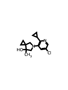 CC1(O)CN(c2cc(Cl)cnc2C2CC2)CC12CC2